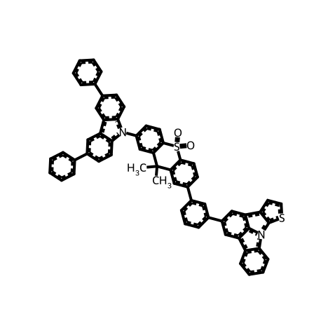 CC1(C)c2cc(-c3cccc(-c4cc5c6ccccc6n6c7sccc7c(c4)c56)c3)ccc2S(=O)(=O)c2ccc(-n3c4ccc(-c5ccccc5)cc4c4cc(-c5ccccc5)ccc43)cc21